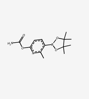 Cc1nc(OC(N)=O)ccc1B1OC(C)(C)C(C)(C)O1